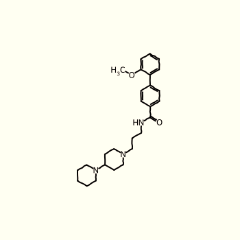 COc1ccccc1-c1ccc(C(=O)NCCCN2CCC(N3CCCCC3)CC2)cc1